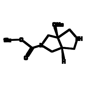 CO[C@@]12CNC[C@@H]1CN(C(=O)OC(C)(C)C)C2